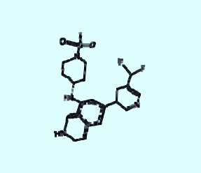 CS(=O)(=O)N1CCC(Nc2cc(C3C=NC=C(C(F)F)C3)cc3c2=CNCC=3)CC1